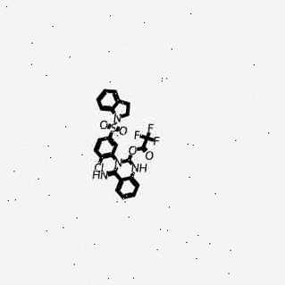 N=C1c2ccccc2NC(OC(=O)C(F)(F)F)N1c1cc(S(=O)(=O)N2CCc3ccccc32)ccc1Cl